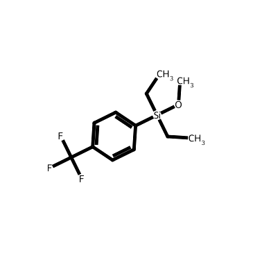 CC[Si](CC)(OC)c1ccc(C(F)(F)F)cc1